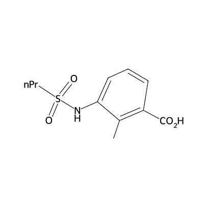 CCCS(=O)(=O)Nc1cccc(C(=O)O)c1C